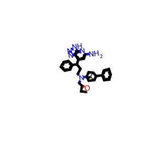 Nc1cc(C(CCN(CC2CCO2)C23CCC(c4ccccc4)(CC2)CC3)c2ccccc2)c2nn[nH]c2n1